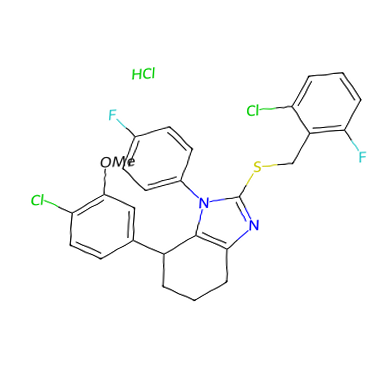 COc1cc(C2CCCc3nc(SCc4c(F)cccc4Cl)n(-c4ccc(F)cc4)c32)ccc1Cl.Cl